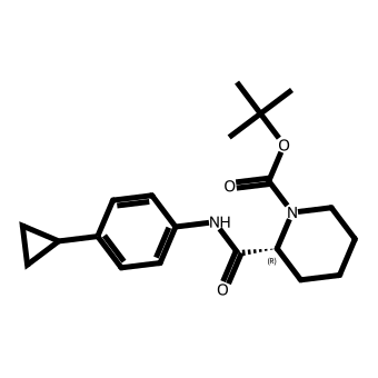 CC(C)(C)OC(=O)N1CCCC[C@@H]1C(=O)Nc1ccc(C2CC2)cc1